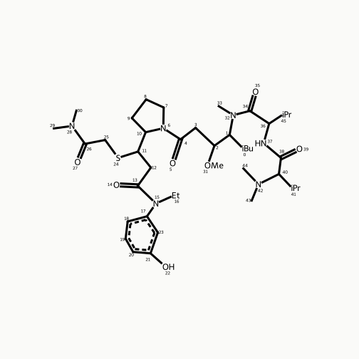 CCC(C)C(C(CC(=O)N1CCCC1C(CC(=O)N(CC)c1cccc(O)c1)SCC(=O)N(C)C)OC)N(C)C(=O)C(NC(=O)C(C(C)C)N(C)C)C(C)C